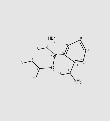 Br.CCC(C)[O][Sn]([CH2]C)[c]1ccccc1C(C)N